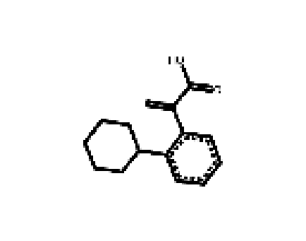 C=C(C(=O)O)c1ccccc1C1CCCCC1